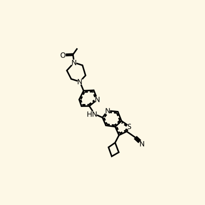 CC(=O)N1CCN(c2ccc(Nc3cc4c(C5CCC5)c(C#N)sc4cn3)nc2)CC1